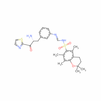 Cc1c(C)c(S(=O)(=O)N/C=N/c2cccc(C[C@@H](N)C(=O)c3nccs3)c2)c(C)c2c1OC(C)(C)CC2